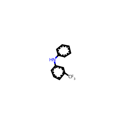 FC(F)(F)c1cccc(Nc2[c]cccc2)c1